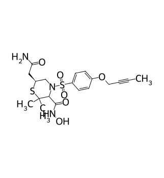 CC#CCOc1ccc(S(=O)(=O)N2C[C@H](CC(N)=O)SC(C)(C)C2C(=O)NO)cc1